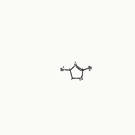 BrC1=NC(Br)CS1